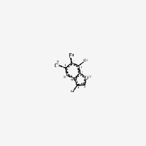 Cc1coc2c(F)c(F)c(Cl)cc12